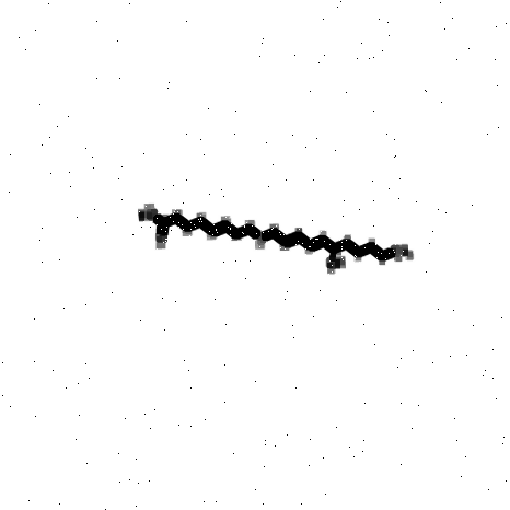 CCCCC[C@H](O)C=CC=CCSCCC=CCCCC(=O)O